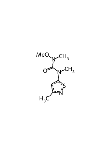 CON(C)C(=O)N(C)c1cc(C)ns1